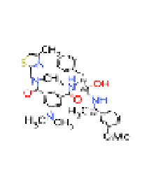 COc1cccc([C@H](C)NC[C@@H](O)[C@H](Cc2ccccc2)NC(=O)c2cc(C(=O)N(C)Cc3nc(C)cs3)cc(N(C)C)c2)c1